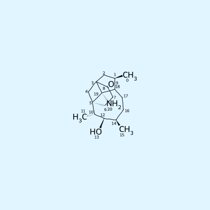 C[C@@H]1CC23C[C@]4(CCC2=O)[C@@H](C)[C@H](O)[C@H](C)CCC1[C@]34N